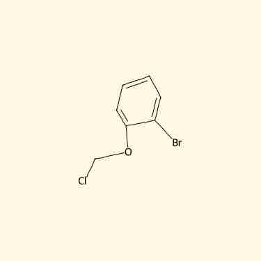 ClCOc1ccccc1Br